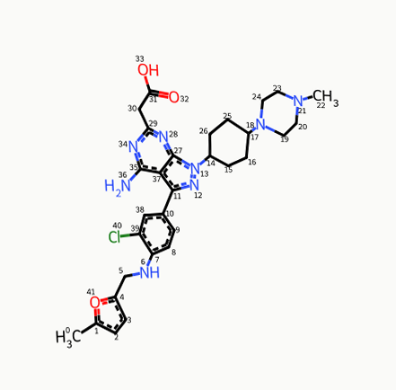 Cc1ccc(CNc2ccc(-c3nn(C4CCC(N5CCN(C)CC5)CC4)c4nc(CC(=O)O)nc(N)c34)cc2Cl)o1